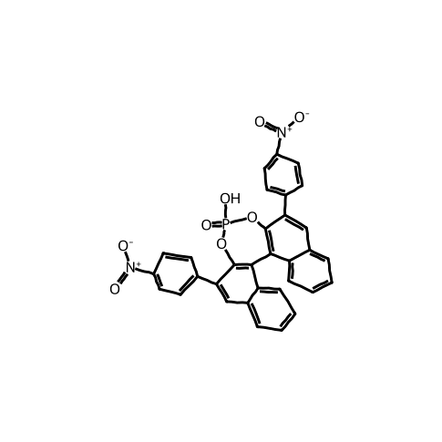 O=[N+]([O-])c1ccc(-c2cc3ccccc3c3c2OP(=O)(O)Oc2c(-c4ccc([N+](=O)[O-])cc4)cc4ccccc4c2-3)cc1